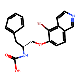 O=C(O)N[C@@H](COc1ccc2cnccc2c1Br)Cc1ccccc1